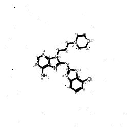 Nc1ncnc2c1nc(Sc1nc3cccc(Cl)c3s1)n2CCCN1CCOCC1